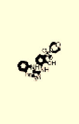 O=S(=O)(c1cccc(Nc2nsnc2Nc2ccccc2Br)c1O)N1CCOCC1